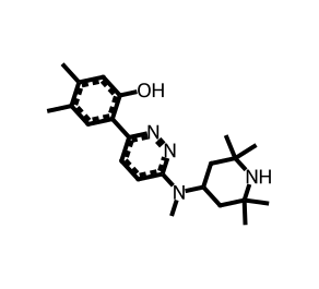 Cc1cc(O)c(-c2ccc(N(C)C3CC(C)(C)NC(C)(C)C3)nn2)cc1C